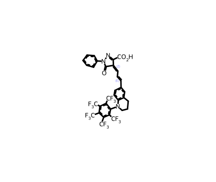 O=C(O)C1=NN(c2ccccc2)C(=O)/C1=C\C=C\c1ccc2c(c1)CCCN2c1c(C(F)(F)F)c(C(F)(F)F)c(C(F)(F)F)c(C(F)(F)F)c1C(F)(F)F